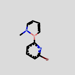 CN1C=CC=CB1c1cccc(Br)n1